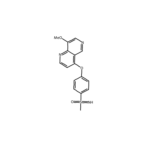 COc1cncc2c(Oc3ccc(S(C)(=N)=O)cc3)ccnc12